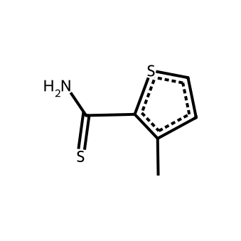 Cc1ccsc1C(N)=S